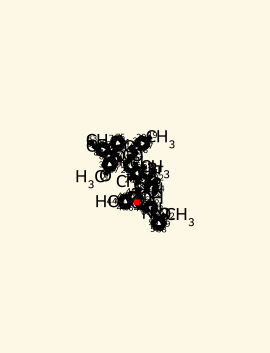 COc1ccc(C(OC[C@H](COS(=O)(=O)c2ccc(C)cc2)Cc2c(Cl)c(C)c(-c3c(Br)sc4ncnc(O[C@H](Cc5cc(O)ccc5OCc5ccnc(-c6ccccc6OC)n5)C(=O)O)c34)c(C)c2Cl)(c2ccccc2)c2ccc(OC)cc2)cc1